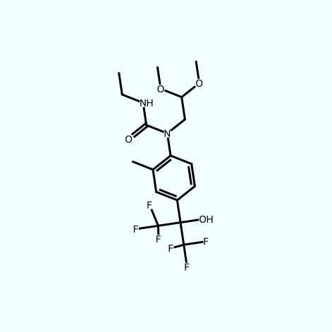 CCNC(=O)N(CC(OC)OC)c1ccc(C(O)(C(F)(F)F)C(F)(F)F)cc1C